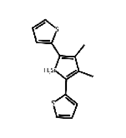 CC1=C(c2cccs2)[SiH2]C(c2cccs2)=C1C